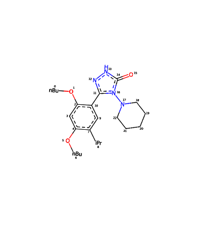 CCCCOc1cc(OCCCC)c(C(C)C)cc1-c1n[nH]c(=O)n1N1CCCCC1